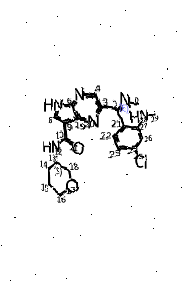 C/N=C(/c1cnc2[nH]cc(C(=O)N[C@H]3CCCOC3)c2n1)c1ccc(Cl)cc1NC